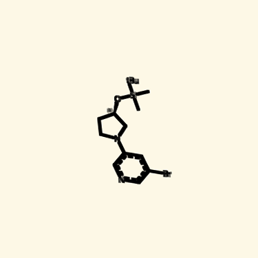 CC(C)(C)[Si](C)(C)O[C@@H]1CCN(c2cncc(Br)c2)C1